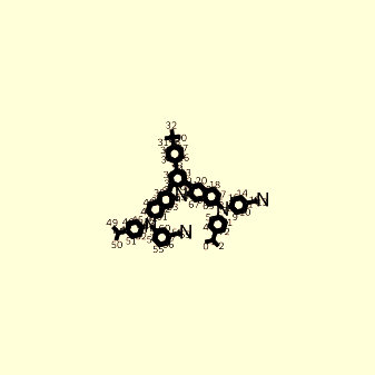 CC(C)c1ccc(N(c2ccc(C#N)cc2)c2ccc3cc4c5cc(-c6ccc(C(C)(C)C)cc6)cc6c7cc8ccc(N(c9ccc(C(C)C)cc9)c9cccc(C#N)c9)cc8cc7n(c4cc3c2)c56)cc1